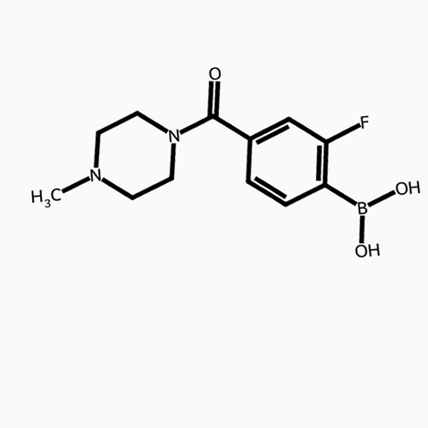 CN1CCN(C(=O)c2ccc(B(O)O)c(F)c2)CC1